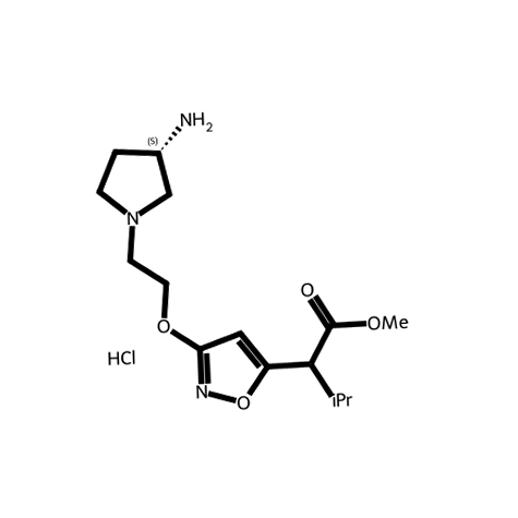 COC(=O)C(c1cc(OCCN2CC[C@H](N)C2)no1)C(C)C.Cl